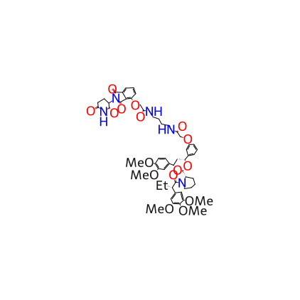 CC[C@H](C(=O)N1CCCC[C@H]1C(=O)O[C@H](CCc1ccc(OC)c(OC)c1)c1cccc(OCC(=O)NCCCCNC(=O)COc2cccc3c2C(=O)N(C2CCC(=O)NC2=O)C3=O)c1)c1cc(OC)c(OC)c(OC)c1